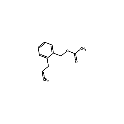 C=CCc1ccccc1COC(C)=O